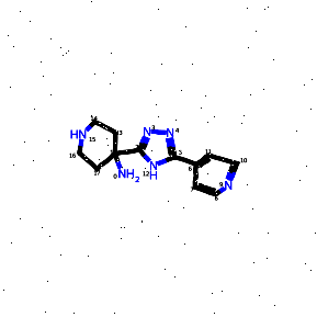 NC1(c2nnc(-c3ccncc3)[nH]2)CCNCC1